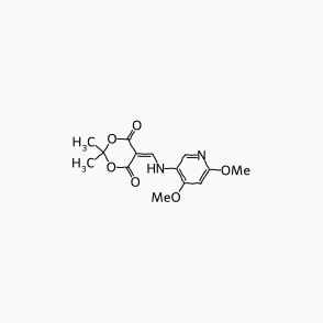 COc1cc(OC)c(NC=C2C(=O)OC(C)(C)OC2=O)cn1